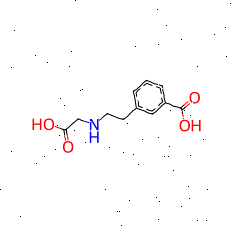 O=C(O)CNCCc1cccc(C(=O)O)c1